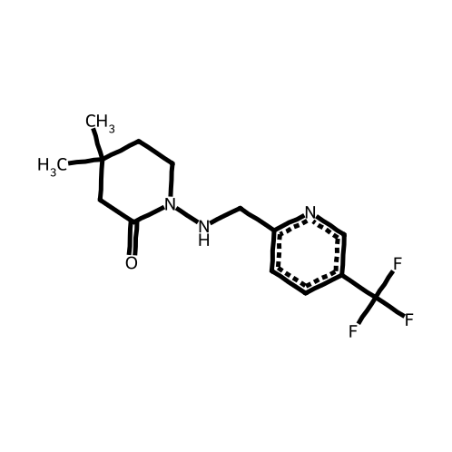 CC1(C)CCN(NCc2ccc(C(F)(F)F)cn2)C(=O)C1